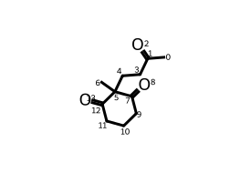 CC(=O)CCC1(C)C(=O)CCCC1=O